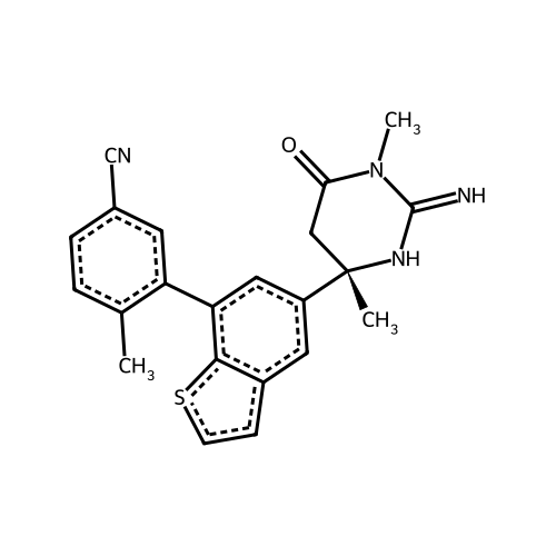 Cc1ccc(C#N)cc1-c1cc([C@]2(C)CC(=O)N(C)C(=N)N2)cc2ccsc12